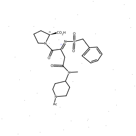 CC(=O)N1CCC(N(C)C(=O)C/C(=N\S(=O)(=O)Cc2ccccc2)C(=O)N2CCC[C@H]2C(=O)O)CC1